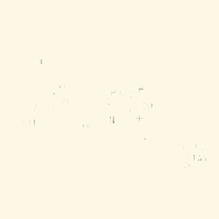 CCOc1ccc(Br)cc1S(=O)(=O)N1CCC2(CC1)C[C@H](N(C[C@H](O)COc1cccc(S(=O)(=O)NC)c1)C(=O)OC(C)(C)C)CO2